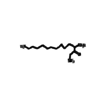 NCCCCCCCCCCC(C(=O)O)C(=O)CN